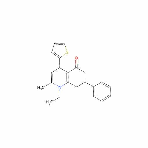 CCN1C(C)=CC(c2cccs2)C2=C1CC(c1ccccc1)CC2=O